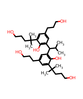 CC(C)C(c1cc(CCCO)cc(C(C)(C)CCCO)c1O)c1cc(CCCO)cc(C(C)(C)CCCO)c1O